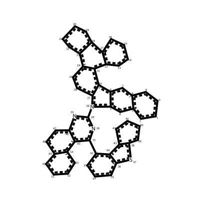 c1ccc2cc3c(cc2c1)c1c2c4ccccc4c4ccccc4c2ccc1n3-c1nc(-c2cccc3sc4ccccc4c23)c2c(ccc3ccccc32)n1